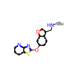 CC(C)(C)NCc1coc2cc(Oc3nc4ncccc4s3)ccc12